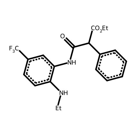 CCNc1ccc(C(F)(F)F)cc1NC(=O)C(C(=O)OCC)c1ccccc1